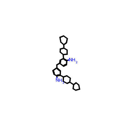 Nc1ccc(Cc2ccc(N)c(C3CCC(C4CCCCC4)CC3)c2)cc1C1CCC(C2CCCCC2)CC1